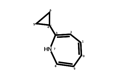 C1=CC=C([C]2CC2)NC=C1